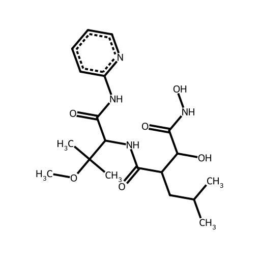 COC(C)(C)C(NC(=O)C(CC(C)C)C(O)C(=O)NO)C(=O)Nc1ccccn1